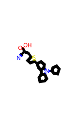 N#C/C(=C\c1ccc(-c2ccc3c(c2)c2ccccc2n3-c2ccccc2)s1)C(=O)O